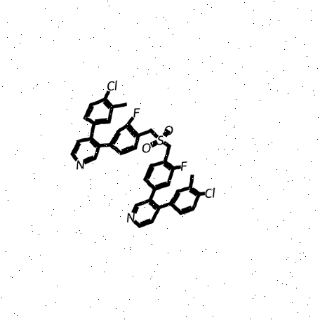 Cc1cc(-c2ccncc2-c2ccc(CS(=O)(=O)Cc3ccc(-c4cnccc4-c4ccc(Cl)c(C)c4)cc3F)c(F)c2)ccc1Cl